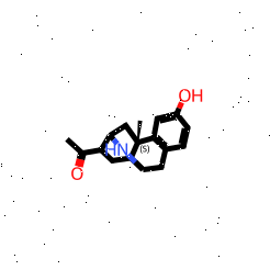 CC(=O)C1CC2C3Cc4ccc(O)cc4[C@@]2(C)CC1N3